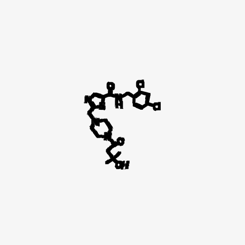 CC(C)(O)CC(=O)N1CCN(Cc2ncc(C(=O)NCc3ccc(Cl)cc3Cl)s2)CC1